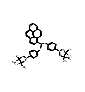 CC1(C)OB(c2ccc(OC(Oc3ccc(B4OC(C)(C)C(C)(C)O4)cc3)c3ccc4ccc5cccc6ccc3c4c56)cc2)OC1(C)C